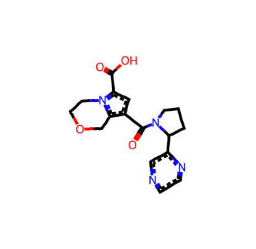 O=C(O)c1cc(C(=O)N2CCCC2c2cnccn2)c2n1CCOC2